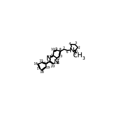 C[C@@H]1CCCN1CCc1ccc2nc(-c3ccccc3)cnc2c1